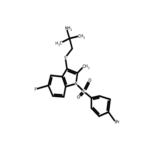 Cc1c(SCC(C)(C)N)c2cc(F)ccc2n1S(=O)(=O)c1ccc(C(C)C)cc1